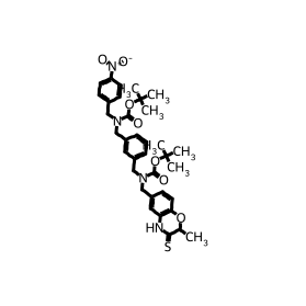 CC1Oc2ccc(CN(Cc3cccc(CN(Cc4ccc([N+](=O)[O-])cc4)C(=O)OC(C)(C)C)c3)C(=O)OC(C)(C)C)cc2NC1=S